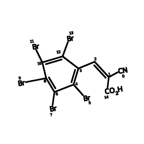 N#CC(=Cc1c(Br)c(Br)c(Br)c(Br)c1Br)C(=O)O